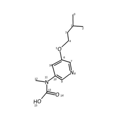 CC(C)CCOc1cncc(N(C)C(=O)O)c1